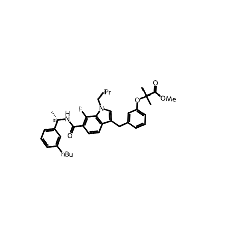 CCCCc1cccc([C@H](C)NC(=O)c2ccc3c(Cc4cccc(OC(C)(C)C(=O)OC)c4)cn(CC(C)C)c3c2F)c1